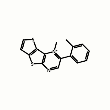 Cc1ccccc1-c1cnc2sc3ccsc3c2[n+]1C